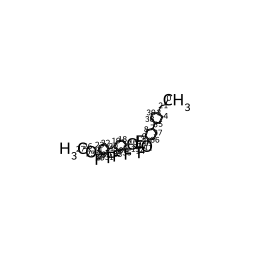 CCCc1ccc(-c2ccc(OC(F)(F)COc3ccc(-c4ccc(OCC)c(F)c4F)c(F)c3F)cc2)cc1